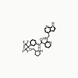 O=C(Nc1cccc(C(OCC2CCCN2)(C(F)(F)F)C(F)(F)F)c1)c1cccnc1NCc1ccnc2[nH]ccc12